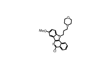 COc1ccc2c(c1)c1nc(Cl)c3ccccc3c1n2CCCN1CCOCC1